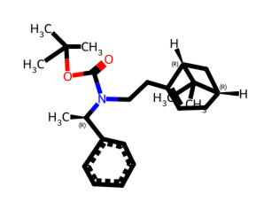 C[C@H](c1ccccc1)N(CCC1=CC[C@H]2C[C@@H]1C2(C)C)C(=O)OC(C)(C)C